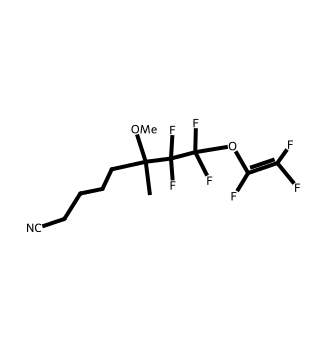 COC(C)(CCCCC#N)C(F)(F)C(F)(F)OC(F)=C(F)F